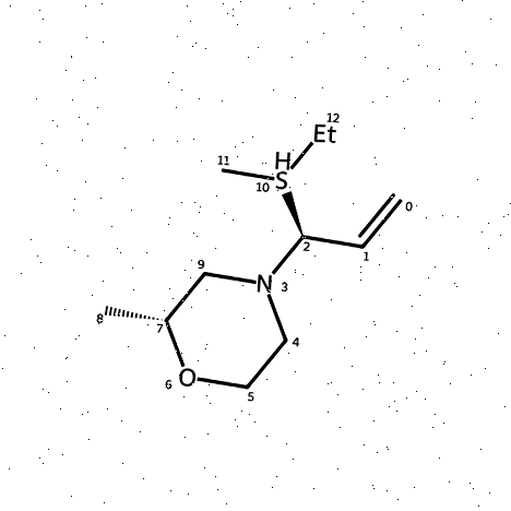 C=C[C@@H](N1CCO[C@H](C)C1)[SH](C)CC